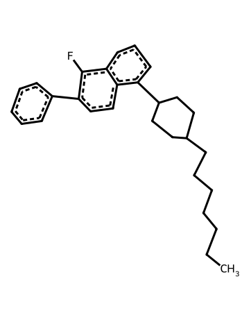 CCCCCCCC1CCC(c2cccc3c(F)c(-c4ccccc4)ccc23)CC1